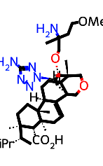 COCCC(C)(N)CO[C@H]1[C@H](n2nnc(N)n2)C[C@@]23COC[C@]1(C)[C@@H]2CC[C@H]1C3=CC[C@@]2(C)[C@H](C(=O)O)[C@@](C)([C@H](C)C(C)C)CC[C@]12C